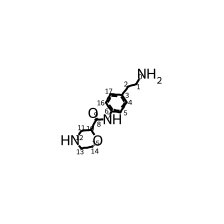 NCCc1ccc(NC(=O)C2CNCCO2)cc1